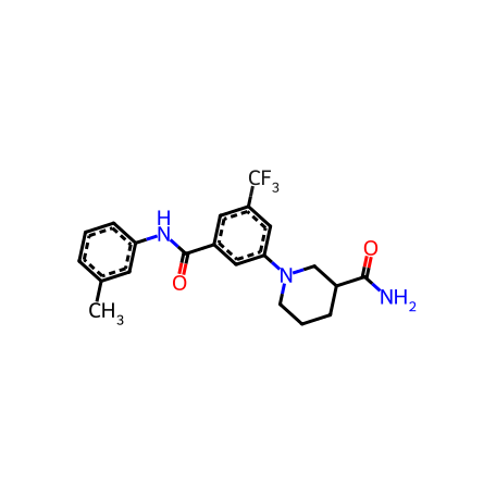 Cc1cccc(NC(=O)c2cc(N3CCCC(C(N)=O)C3)cc(C(F)(F)F)c2)c1